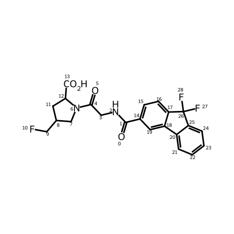 O=C(NCC(=O)N1CC(CF)CC1C(=O)O)c1ccc2c(c1)-c1ccccc1C2(F)F